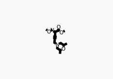 CO/N=C(\C#CCN1CC(C)OC(C)C1)C(=O)OC